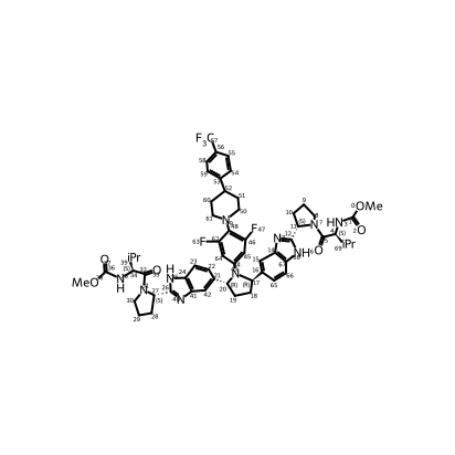 COC(=O)N[C@H](C(=O)N1CCC[C@H]1c1nc2cc([C@H]3CC[C@H](c4ccc5[nH]c([C@@H]6CCCN6C(=O)[C@@H](NC(=O)OC)C(C)C)nc5c4)N3c3cc(F)c(N4CCC(c5ccc(C(F)(F)F)cc5)CC4)c(F)c3)ccc2[nH]1)C(C)C